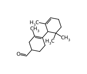 CC1=CCCC(C)(C)C1C1=C(C)CC(C=O)CC1